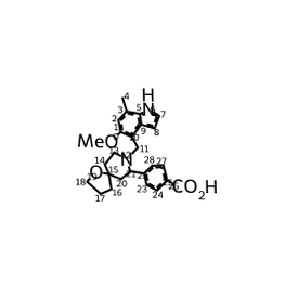 COc1cc(C)c2[nH]ccc2c1CN1CCC2(CCCO2)CC1c1ccc(C(=O)O)cc1